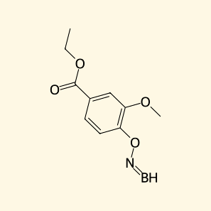 B=NOc1ccc(C(=O)OCC)cc1OC